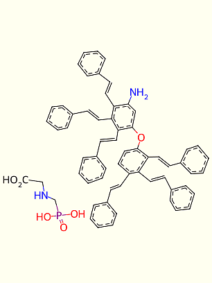 Nc1cc(Oc2ccc(C=Cc3ccccc3)c(C=Cc3ccccc3)c2C=Cc2ccccc2)c(C=Cc2ccccc2)c(C=Cc2ccccc2)c1C=Cc1ccccc1.O=C(O)CNCP(=O)(O)O